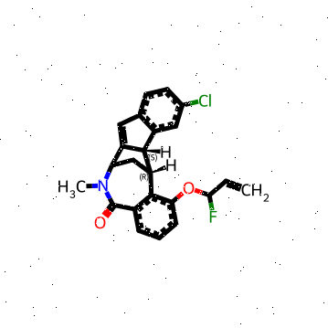 C=CC(F)Oc1cccc2c1[C@@H]1CC(C3=Cc4ccc(Cl)cc4[C@@H]31)N(C)C2=O